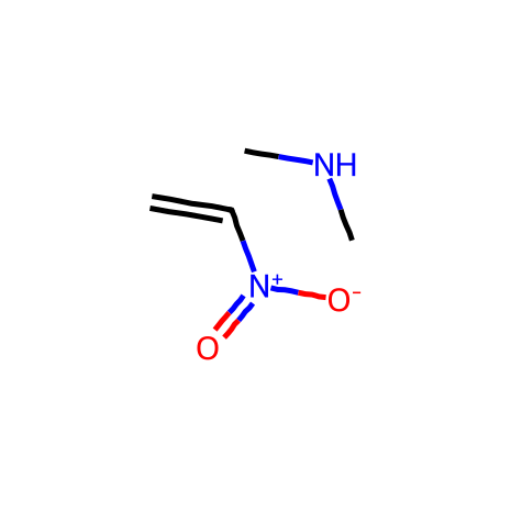 C=C[N+](=O)[O-].CNC